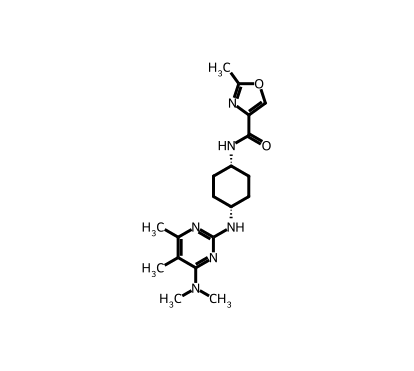 Cc1nc(C(=O)N[C@H]2CC[C@@H](Nc3nc(C)c(C)c(N(C)C)n3)CC2)co1